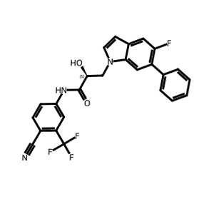 N#Cc1ccc(NC(=O)[C@@H](O)Cn2ccc3cc(F)c(-c4ccccc4)cc32)cc1C(F)(F)F